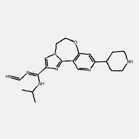 CC(C)N/C(=N\C=N)c1cn2c(n1)-c1cnc(C3CCNCC3)cc1OCC2